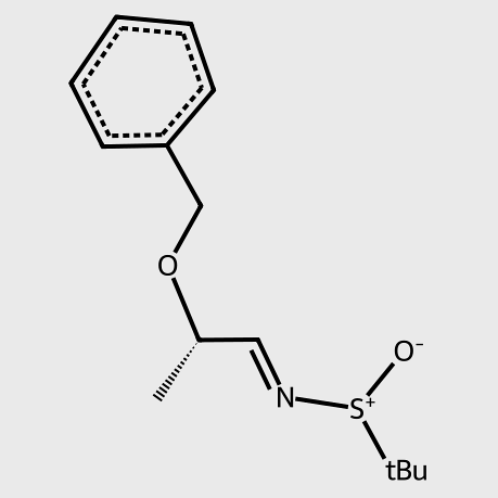 C[C@@H](/C=N/[S+]([O-])C(C)(C)C)OCc1ccccc1